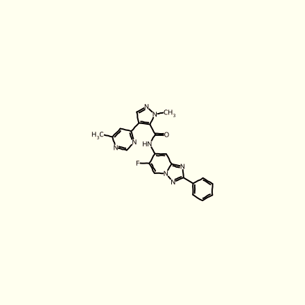 Cc1cc(-c2cnn(C)c2C(=O)Nc2cc3nc(-c4ccccc4)nn3cc2F)ncn1